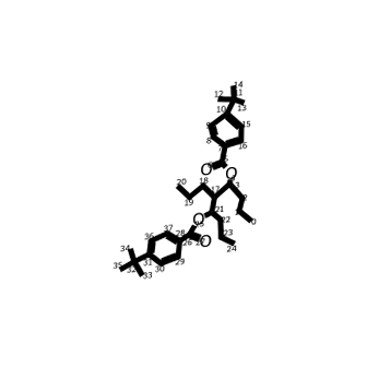 CCCC(OC(=O)c1ccc(C(C)(C)C)cc1)C(CCC)C(CCC)OC(=O)c1ccc(C(C)(C)C)cc1